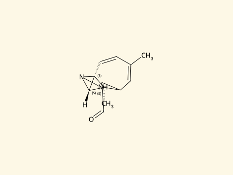 CC1=CC2C(C=O)NN3[C@H]4[C@@]2(C)[C@@]43C=C1